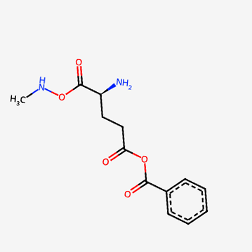 CNOC(=O)[C@@H](N)CCC(=O)OC(=O)c1ccccc1